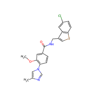 COc1cc(C(=O)NCc2csc3ccc(Cl)cc23)ccc1-n1cnc(C)c1